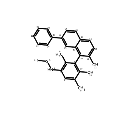 Cc1cc(NSI)c(C)c(-c2c(O)ccc3ccc(-c4ccccc4)cc23)c1O